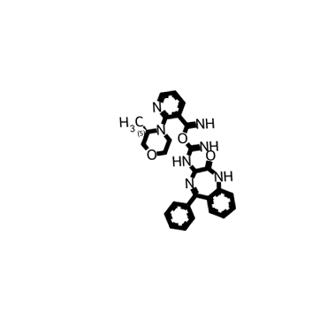 C[C@H]1COCCN1c1ncccc1C(=N)OC(=N)NC1N=C(c2ccccc2)c2ccccc2NC1=O